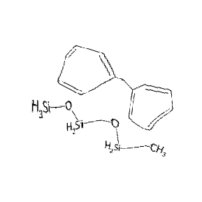 C[SiH2]O[SiH2]O[SiH3].c1ccc(-c2ccccc2)cc1